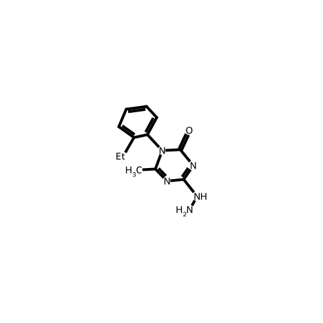 CCc1ccccc1-n1c(C)nc(NN)nc1=O